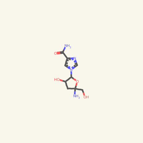 NC(=O)c1cn(C2OC(N)(CO)CC2O)cn1